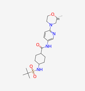 C[C@@H]1CN(c2ccc(NC(=O)C3CCC(NS(=O)(=O)C(C)(C)C)CC3)cn2)CCO1